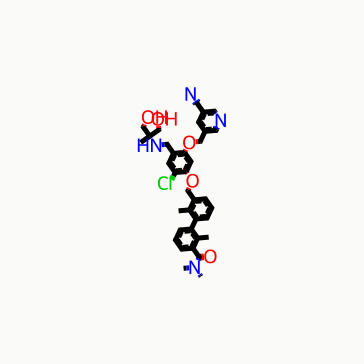 Cc1c(COc2cc(OCc3cncc(C#N)c3)c(CNC(C)(CO)CO)cc2Cl)cccc1-c1cccc(C(=O)N(C)C)c1C